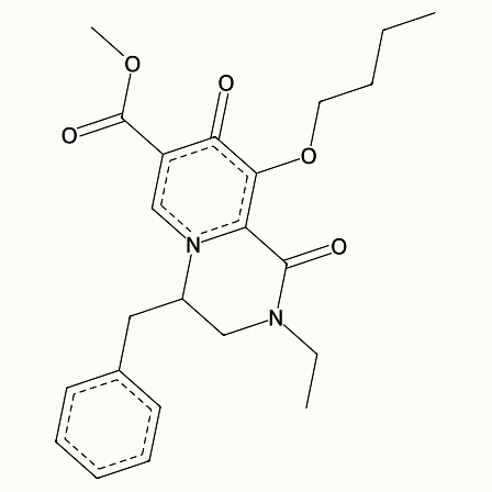 CCCCOc1c2n(cc(C(=O)OC)c1=O)C(Cc1ccccc1)CN(CC)C2=O